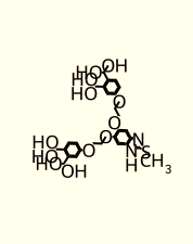 CSc1nc2cc(OCCOc3ccc(C(O)O)c(C(O)O)c3)c(OCCOc3ccc(C(O)O)c(C(O)O)c3)cc2[nH]1